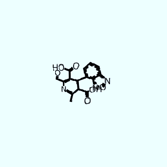 CC1=NC(C=O)=C(C(=O)O)C(c2cccc3nonc23)C1C(=O)O